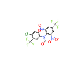 O=CN(c1ccc(Cl)c(C(F)(F)F)c1)c1c([N+](=O)[O-])cc(C(F)(F)F)cc1[N+](=O)[O-]